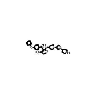 N=C(c1ccc(Oc2ccccc2)cc1)c1c(N)ncnc1NC1CCN(c2cnn(C3CCNCC3)c2)CC1